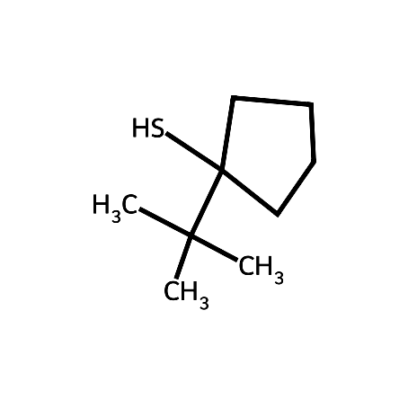 CC(C)(C)C1(S)CCCC1